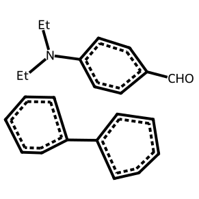 CCN(CC)c1ccc(C=O)cc1.c1ccc(-c2ccccc2)cc1